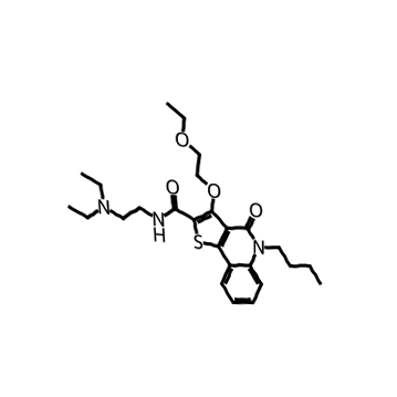 CCCCn1c(=O)c2c(OCCOCC)c(C(=O)NCCN(CC)CC)sc2c2ccccc21